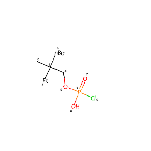 CCCCC(C)(CC)COP(=O)(O)Cl